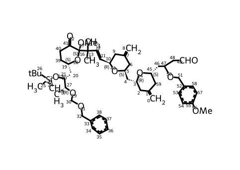 C=C1C[C@H](C[C@@H]2CC(=C)C[C@H](C=CC(C)(C)[C@]3(OC)O[C@H](C[C@@H](O[Si](C)(C)C(C)(C)C)[C@@H](C)OCOCc4ccccc4)CCC3=O)O2)O[C@H](CC(CC=O)OCc2ccc(OC)cc2)C1